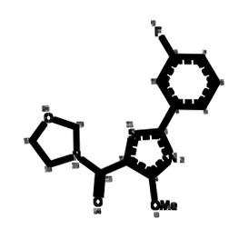 COc1nc(-c2cccc(F)c2)sc1C(=O)N1CCOC1